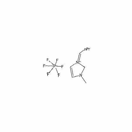 CCCC=[N+]1C=CN(C)C1.F[P-](F)(F)(F)(F)F